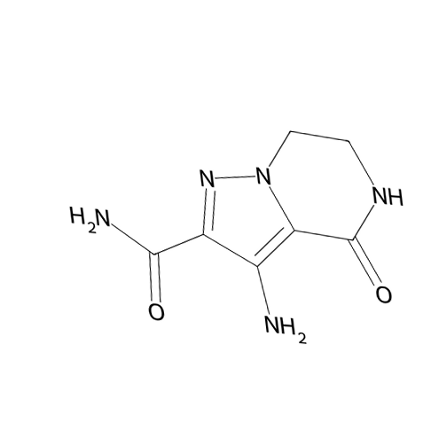 NC(=O)c1nn2c(c1N)C(=O)NCC2